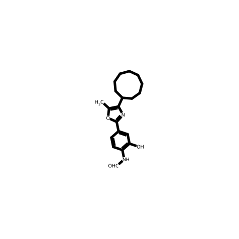 Cc1oc(-c2ccc(NC=O)c(O)c2)nc1C1CCCCCCCC1